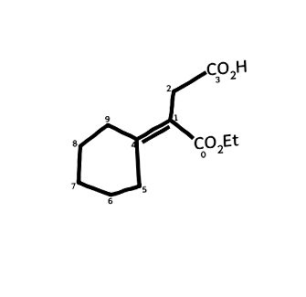 CCOC(=O)C(CC(=O)O)=C1CCCCC1